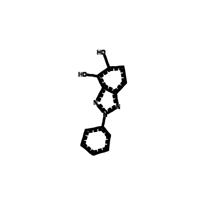 Oc1ccc2nn(-c3ccccc3)nc2c1O